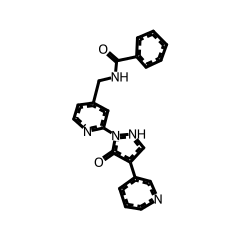 O=C(NCc1ccnc(-n2[nH]cc(-c3cccnc3)c2=O)c1)c1ccccc1